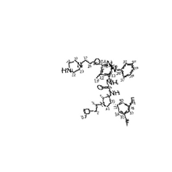 COCCN1C[C@@H](NC(=O)Nc2c(C)c(OCCN3CCNCC3)nn2-c2ccccc2)[C@H](c2cc(F)cc(F)c2)C1